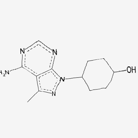 Cc1nn(C2CCC(O)CC2)c2ncnc(N)c12